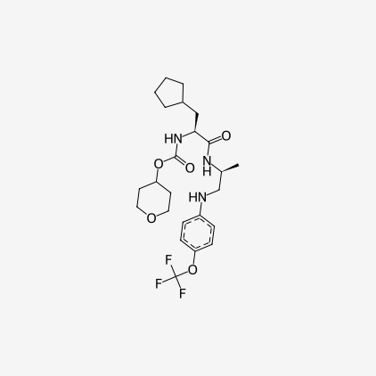 C[C@@H](CNc1ccc(OC(F)(F)F)cc1)NC(=O)[C@H](CC1CCCC1)NC(=O)OC1CCOCC1